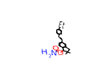 CCc1ccc(/C=C/c2ccc3c(c2)CC(C)(C)C3OC(N)=O)cc1